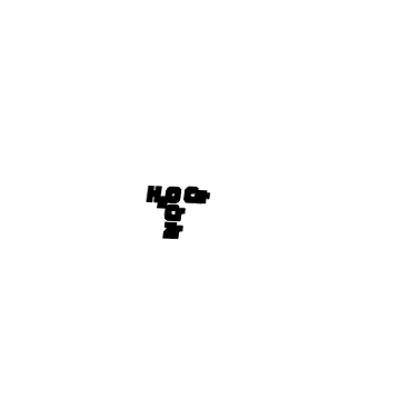 O.[Cr].[Cu].[Zr]